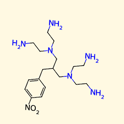 NCCN(CCN)CC(Cc1ccc([N+](=O)[O-])cc1)CN(CCN)CCN